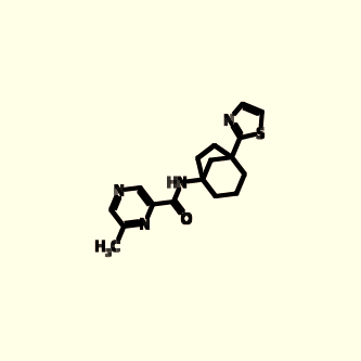 Cc1cncc(C(=O)NC23CCCC(c4nccs4)(CC2)C3)n1